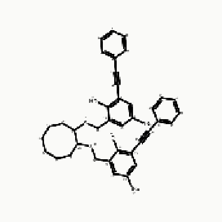 CC(C)(C)c1cc(C#Cc2ccccc2)c(O)c(CSC2CCCCCCC2SCc2cc(C(C)(C)C)cc(C#Cc3ccccc3)c2O)c1